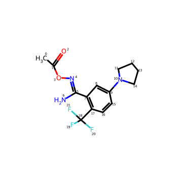 CC(=O)O/N=C(\N)c1cc(N2CCCC2)ccc1C(F)(F)F